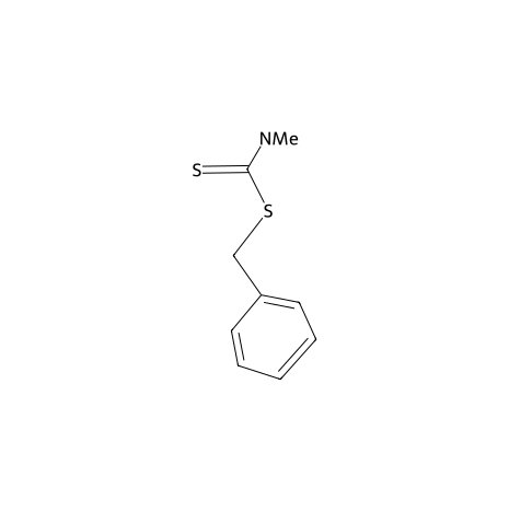 CNC(=S)SCc1ccccc1